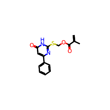 C=C(C)C(=O)OCSc1nc(-c2ccccc2)cc(=O)[nH]1